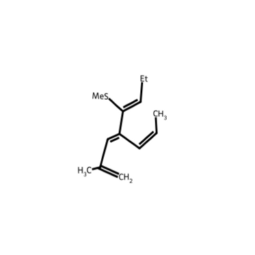 C=C(C)/C=C(\C=C/C)C(=CCC)SC